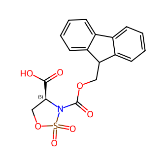 O=C(O)[C@@H]1COS(=O)(=O)N1C(=O)OCC1c2ccccc2-c2ccccc21